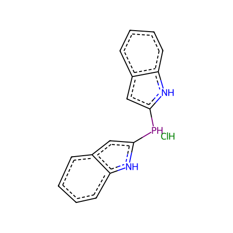 Cl.c1ccc2[nH]c(Pc3cc4ccccc4[nH]3)cc2c1